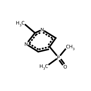 Cc1ncc(P(C)(C)=O)cn1